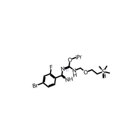 CC(C)O/C(=N/C(=N)c1ccc(Br)cc1F)NCOCC[SH](C)(C)(C)C